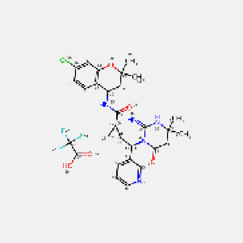 CC1(C)CC(=O)N([C@@H](c2cccnc2)[C@@H]2C[C@H]2C(=O)NC2CC(C)(C)Oc3cc(Cl)ccc32)C(=N)N1.O=C(O)C(F)(F)F